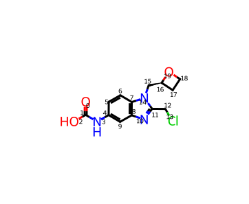 O=C(O)Nc1ccc2c(c1)nc(CCl)n2C[C@@H]1CCO1